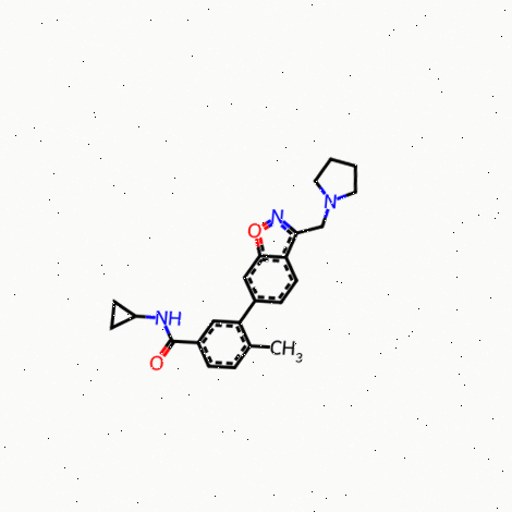 Cc1ccc(C(=O)NC2CC2)cc1-c1ccc2c(CN3CCCC3)noc2c1